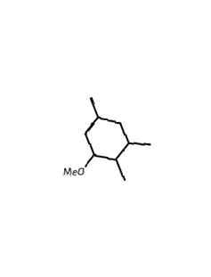 COC1CC(C)CC(C)C1C